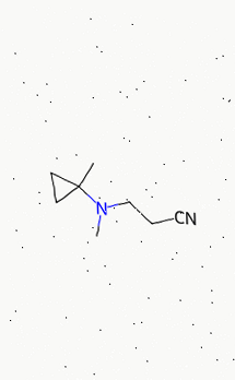 CN(CCC#N)C1(C)CC1